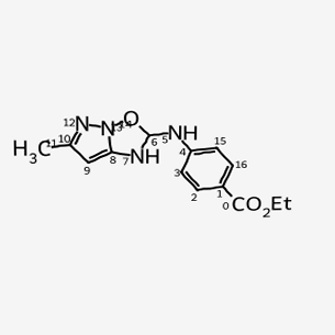 CCOC(=O)c1ccc(NC2Nc3cc(C)nn3O2)cc1